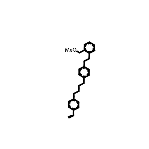 C=Cc1ccc(CCCCc2ccc(CCc3[c]cccc3COC)cc2)cc1